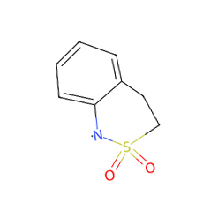 O=S1(=O)CCc2ccccc2[N]1